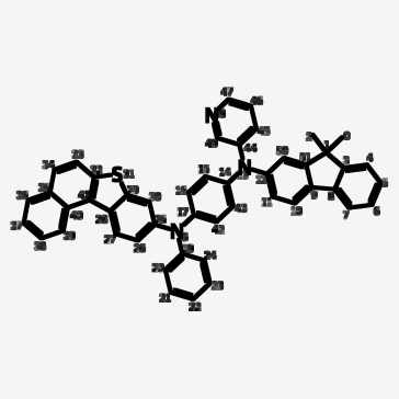 CC1(C)c2ccccc2-c2ccc(N(c3ccc(N(c4ccccc4)c4ccc5c(c4)sc4ccc6ccccc6c45)cc3)c3cccnc3)cc21